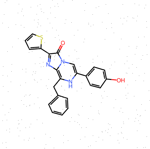 O=c1c(-c2cccs2)nc2c(Cc3ccccc3)[nH]c(-c3ccc(O)cc3)cn1-2